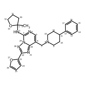 CC1(Nc2ncc(CN3CCC(c4ccccc4)CC3)c3nc(-c4ccco4)nn23)CCCO1